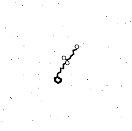 [O]CCCCCC(=O)OCCCCCc1ccccc1